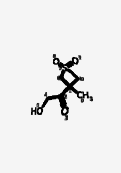 CC1(C(=O)CO)CS(=O)(=O)C1